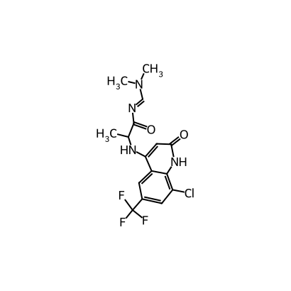 CC(Nc1cc(=O)[nH]c2c(Cl)cc(C(F)(F)F)cc12)C(=O)/N=C/N(C)C